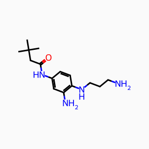 CC(C)(C)CC(=O)Nc1ccc(NCCCN)c(N)c1